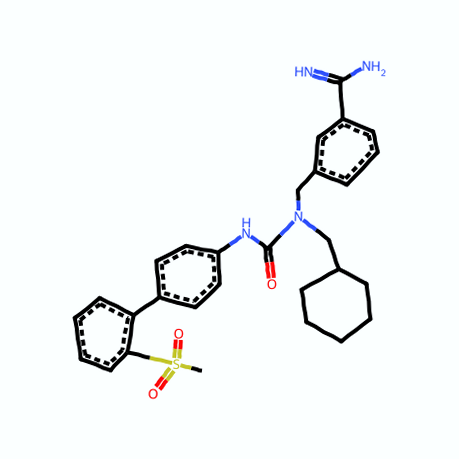 CS(=O)(=O)c1ccccc1-c1ccc(NC(=O)N(Cc2cccc(C(=N)N)c2)CC2CCCCC2)cc1